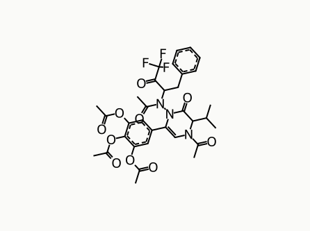 CC(=O)Oc1cc(C2=CN(C(C)=O)C(C(C)C)C(=O)N2N(C(C)=O)C(Cc2ccccc2)C(=O)C(F)(F)F)cc(OC(C)=O)c1OC(C)=O